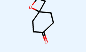 O=C1CCC2(CCO2)CC1